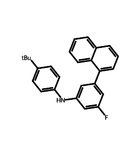 CC(C)(C)c1ccc(Nc2cc(F)cc(-c3cccc4ccccc34)c2)cc1